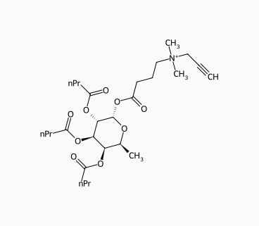 C#CC[N+](C)(C)CCCC(=O)O[C@@H]1O[C@@H](C)[C@@H](OC(=O)CCC)[C@@H](OC(=O)CCC)[C@@H]1OC(=O)CCC